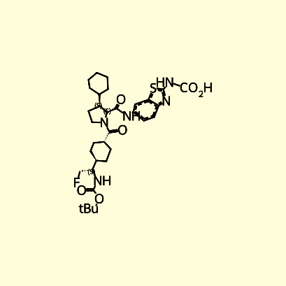 CC(C)(C)OC(=O)N[C@H](CF)[C@H]1CC[C@H](C(=O)N2CC[C@@H](C3CCCCC3)[C@H]2C(=O)Nc2ccc3nc(NC(=O)O)sc3c2)CC1